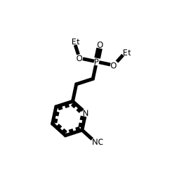 [C-]#[N+]c1cccc(CCP(=O)(OCC)OCC)n1